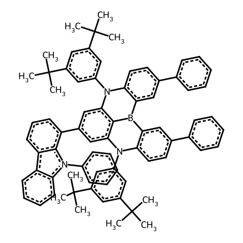 CC(C)(C)c1cc(N2c3ccc(-c4ccccc4)cc3B3c4cc(-c5ccccc5)ccc4N(c4cc(C(C)(C)C)cc(C(C)(C)C)c4)c4cc(-c5cccc6c7ccccc7n(-c7ccccc7)c56)cc2c43)cc(C(C)(C)C)c1